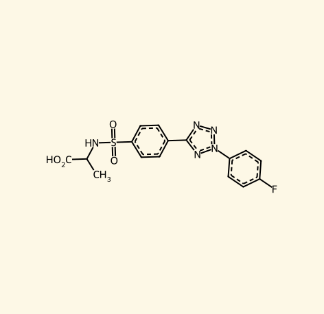 CC(NS(=O)(=O)c1ccc(-c2nnn(-c3ccc(F)cc3)n2)cc1)C(=O)O